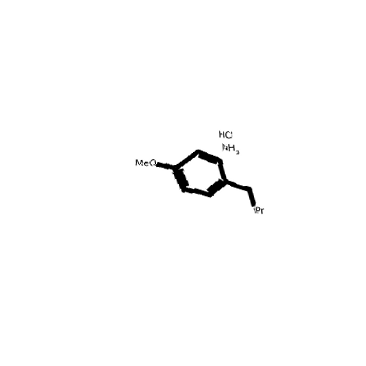 COc1ccc(CC(C)C)cc1.Cl.N